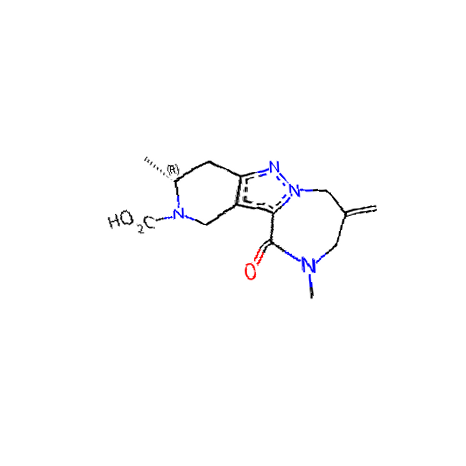 C=C1CN(C)C(=O)c2c3c(nn2C1)C[C@@H](C)N(C(=O)O)C3